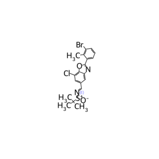 Cc1c(Br)cccc1-c1nc2cc(/C=N/[S+]([O-])C(C)(C)C)cc(Cl)c2o1